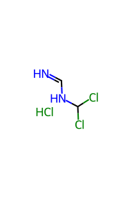 Cl.N=CNC(Cl)Cl